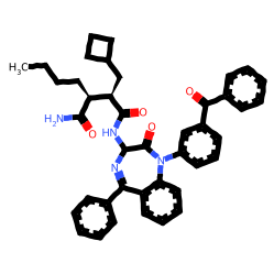 CCCC[C@H](C(N)=O)[C@@H](CC1CCC1)C(=O)NC1N=C(c2ccccc2)c2ccccc2N(c2cccc(C(=O)c3ccccc3)c2)C1=O